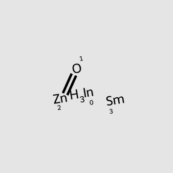 [InH3].[O]=[Zn].[Sm]